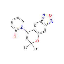 CCC1(CC)C=C(n2ccccc2=O)c2cc3nonc3cc2O1